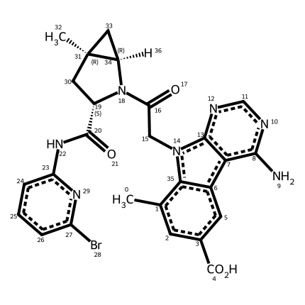 Cc1cc(C(=O)O)cc2c3c(N)ncnc3n(CC(=O)N3[C@H](C(=O)Nc4cccc(Br)n4)C[C@@]4(C)C[C@@H]34)c12